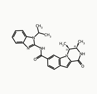 CC(C)n1c(NC(=O)c2ccc3cc4n(c3c2)[C@@H](C)[C@@H](C)NC4=O)nc2ccccc21